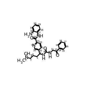 CN(C)CCCC(NC(=O)NCC(=O)c1ccccc1)c1ccc(C(=O)Nc2ccccc2N)nc1